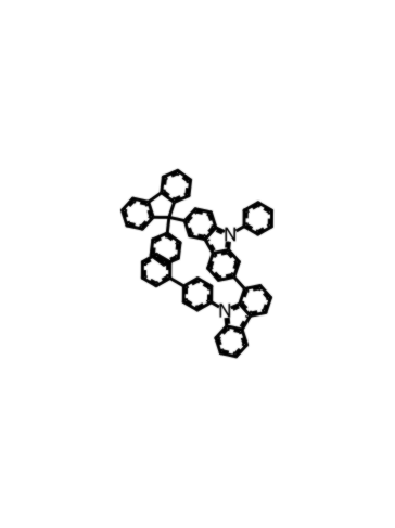 c1ccc(-c2ccc(-n3c4ccccc4c4cccc(-c5ccc6c7cc(C8(c9ccccc9)c9ccccc9-c9ccccc98)ccc7n(-c7ccccc7)c6c5)c43)cc2)cc1